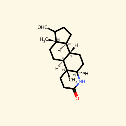 C[C@]12CCC(=O)N[C@@H]1CC[C@@H]1[C@@H]2CC[C@]2(C)C(C=O)CC[C@@H]12